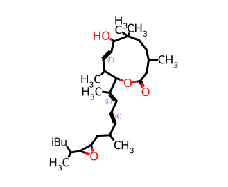 CCC(C)C(C)C1OC1CC(C)/C=C/C=C(\C)C1OC(=O)CC(C)CCC(C)(C)C(O)/C=C/C1C